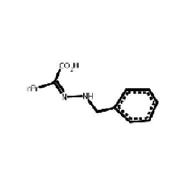 CCCC(=NNCc1ccccc1)C(=O)O